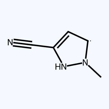 CN1[CH]C=C(C#N)N1